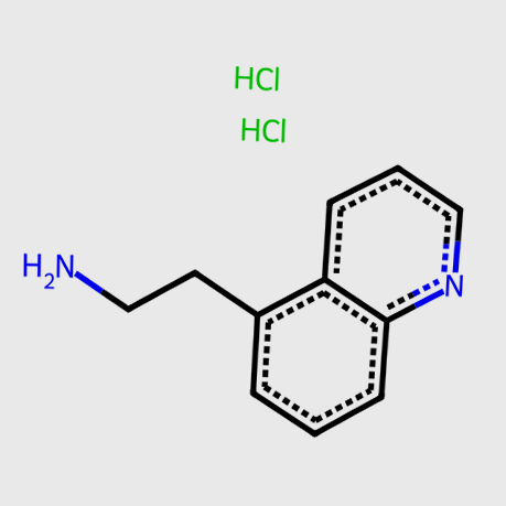 Cl.Cl.NCCc1cccc2ncccc12